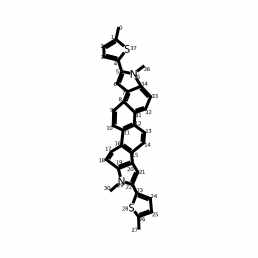 Cc1ccc(-c2cc3c4ccc5c(ccc6c5ccc5c6cc(-c6ccc(C)s6)n5C)c4ccc3n2C)s1